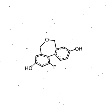 Oc1ccc2c(c1)COCc1cc(O)cc(F)c1-2